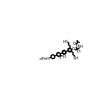 C=C(C)C(=O)OCC(CC)(CS)COc1c(CCCS)cc(-c2ccc(C3C=CC(C4CCC(CCCCC)CC4)=CC3(C)F)c(CC)c2)cc1CCCS